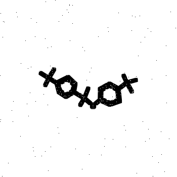 CC(C)(C)c1ccc(OC(C)(C)c2ccc(C(C)(C)C)cc2)cc1